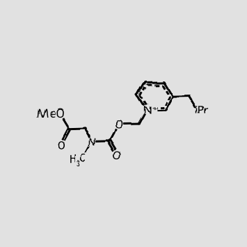 COC(=O)CN(C)C(=O)OC[n+]1cccc(CC(C)C)c1